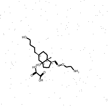 C[C@]12CC[C@H](CCCCO)C[C@@]1(O)CC[C@@H]2C=NOCCN.O=C(O)C(=O)O